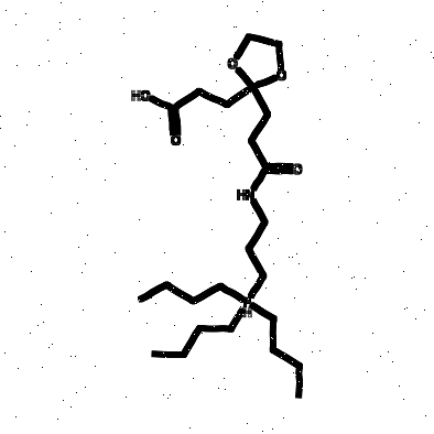 CCCC[PH](CCCC)(CCCC)CCCNC(=O)CCC1(CCC(=O)O)OCCO1